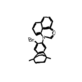 CC12CCC(C)(CC1)c1cc(N3COc4cccc5cccc3c45)c(Br)cc12